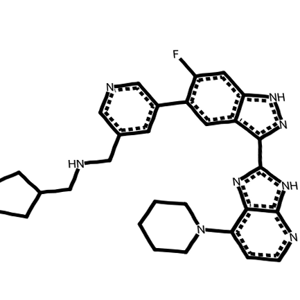 Fc1cc2[nH]nc(-c3nc4c(N5CCCCC5)ccnc4[nH]3)c2cc1-c1cncc(CNCC2CCCC2)c1